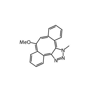 COC1=c2\cccc\c2=c2/nnn(C)/c2=c2\cccc\c2=C\1